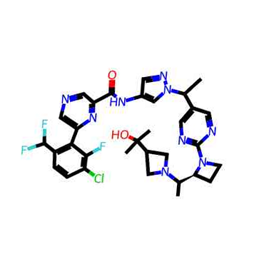 CC([C@@H]1CCN1c1ncc(C(C)n2cc(NC(=O)c3cncc(-c4c(C(F)F)ccc(Cl)c4F)n3)cn2)cn1)N1CC(C(C)(C)O)C1